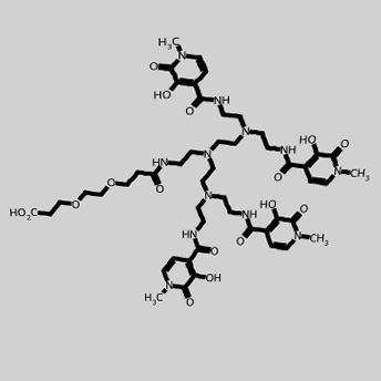 Cn1ccc(C(=O)NCCN(CCNC(=O)c2ccn(C)c(=O)c2O)CCN(CCNC(=O)CCOCCOCCC(=O)O)CCN(CCNC(=O)c2ccn(C)c(=O)c2O)CCNC(=O)c2ccn(C)c(=O)c2O)c(O)c1=O